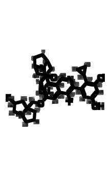 C=CC(=O)N1C2CCC1CN(c1nc(OCC34CCCN3CC(F)C4)cc3c(F)c(-c4cc(O)cc(Cl)c4C4CC4)ncc13)C2